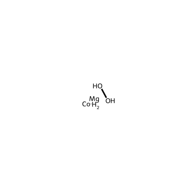 OO.[Co].[MgH2]